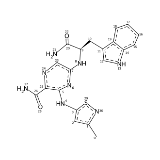 Cc1cc(Nc2nc(N[C@H](Cc3c[nH]c4ccccc34)C(N)=O)cnc2C(N)=O)sn1